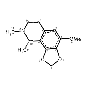 COc1cc2c(c3c1OCO3)[C@H](C)N(C)CC2